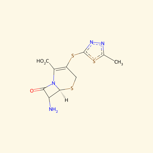 Cc1nnc(SC2=C(C(=O)O)N3C(=O)C(N)[C@@H]3SC2)s1